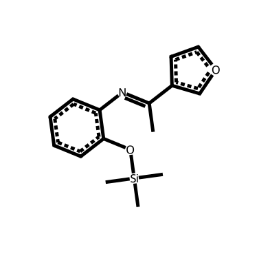 CC(=Nc1ccccc1O[Si](C)(C)C)c1ccoc1